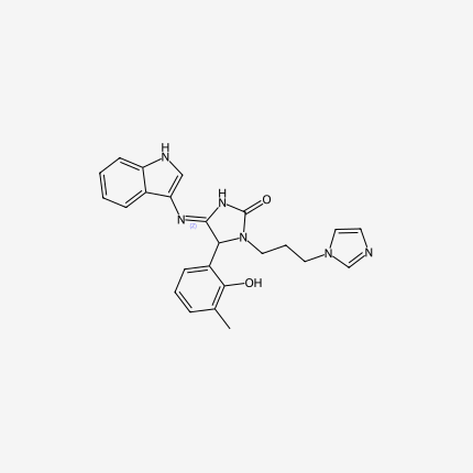 Cc1cccc(C2/C(=N/c3c[nH]c4ccccc34)NC(=O)N2CCCn2ccnc2)c1O